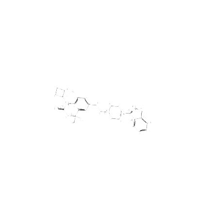 Cc1cc(CCN2CCN(c3nsc4ccccc34)CC2)cc2c1N(C1CCC1)C(=O)CC2(C)C